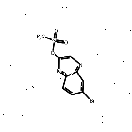 O=S(=O)(Oc1cnc2cc(Br)ccc2n1)C(F)(F)F